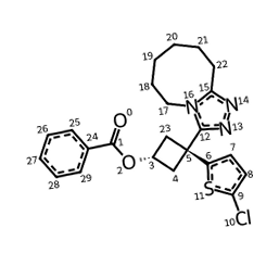 O=C(O[C@H]1C[C@@](c2ccc(Cl)s2)(c2nnc3n2CCCCCC3)C1)c1ccccc1